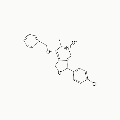 Cc1c(OCc2ccccc2)c2c(c[n+]1[O-])C(c1ccc(Cl)cc1)OC2